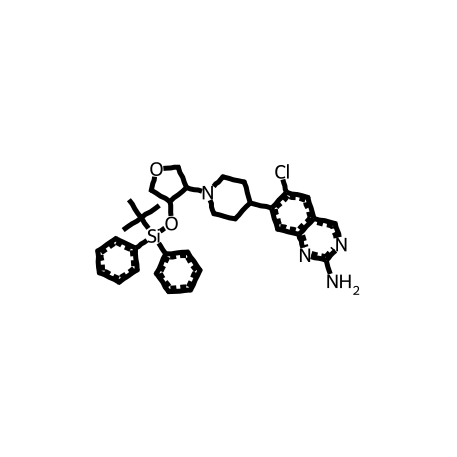 CC(C)(C)[Si](OC1COCC1N1CCC(c2cc3nc(N)ncc3cc2Cl)CC1)(c1ccccc1)c1ccccc1